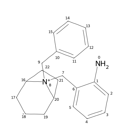 Nc1ccccc1C[N+]1(Cc2ccccc2)C2C[CH]CC1CC2